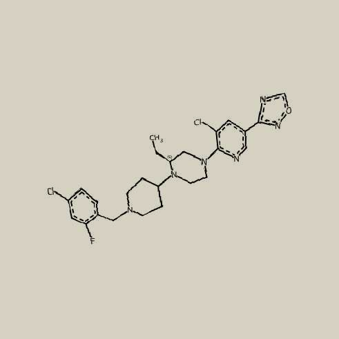 CC[C@H]1CN(c2ncc(-c3ncon3)cc2Cl)CCN1C1CCN(Cc2ccc(Cl)cc2F)CC1